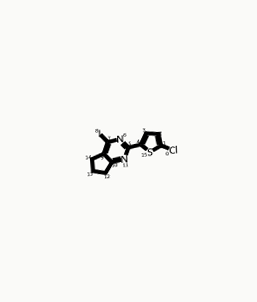 Clc1ccc(-c2nc(I)c3c(n2)CCC3)s1